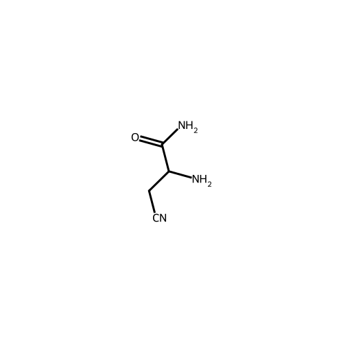 N#CCC(N)C(N)=O